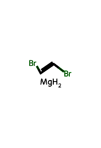 BrC=CBr.[MgH2]